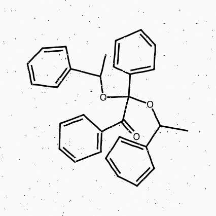 CC(OC(OC(C)c1ccccc1)(C(=O)c1ccccc1)c1ccccc1)c1ccccc1